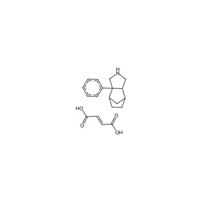 O=C(O)/C=C/C(=O)O.c1ccc(C23CNCC2C2CCC3C2)cc1